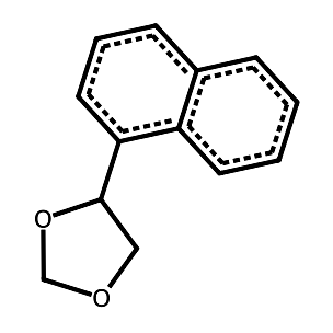 c1ccc2c(C3COCO3)cccc2c1